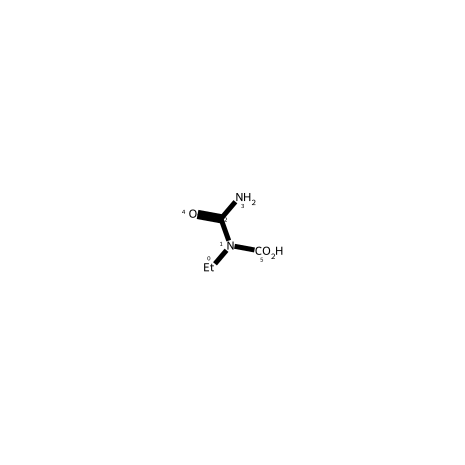 CCN(C(N)=O)C(=O)O